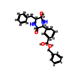 O=C(OCc1ccccc1)c1cccc(C2NC(=O)C(Cc3ccccc3)NC2=O)c1